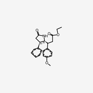 CCOC(=O)CC(c1ccc(OC)cc1)[C@@H]1NC(=O)C[C@@H]1c1ccccc1